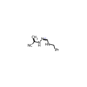 C=C(C#N)N/N=C\NCC(C)C